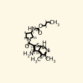 CCCOC(=O)NC1CCN(C(=O)C2=C(N)C3=C(C)C(C)=NNC3S2)C1